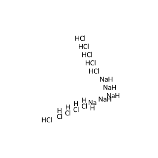 Cl.Cl.Cl.Cl.Cl.Cl.Cl.Cl.Cl.Cl.[NaH].[NaH].[NaH].[NaH].[NaH]